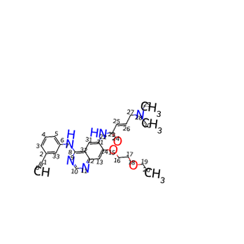 C#Cc1cccc(Nc2ncnc3cc(OCCOCC)c(NC(=O)/C=C/CN(C)C)cc23)c1